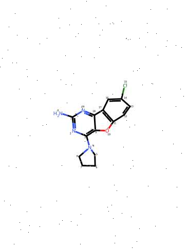 Nc1nc(N2C[CH]CC2)c2oc3ccc(Cl)cc3c2n1